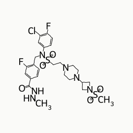 CNNC(=O)c1ccc(CN(c2ccc(F)c(Cl)c2)S(=O)(=O)CCN2CCN(C3CN(S(C)(=O)=O)C3)CC2)c(F)c1